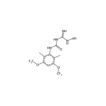 CCCNC(=N)NC(=O)Nc1c(C)c(OC(F)(F)F)cc(OC(F)(F)F)c1C